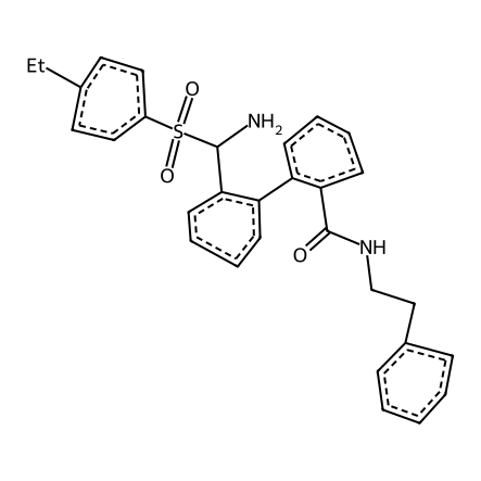 CCc1ccc(S(=O)(=O)C(N)c2ccccc2-c2ccccc2C(=O)NCCc2ccccc2)cc1